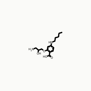 CCCCCNc1ccc(C(=O)O)c(OCC(O)CN)c1